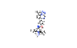 Cc1nnc2n1-c1ccccc1C(c1ccc(C(=O)NC3CC(C)(C)NC(C)(C)C3)cc1)=NC2